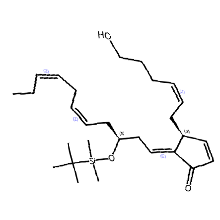 CC/C=C\C/C=C\C[C@@H](C/C=C1/C(=O)C=C[C@@H]1C/C=C\CCCO)O[Si](C)(C)C(C)(C)C